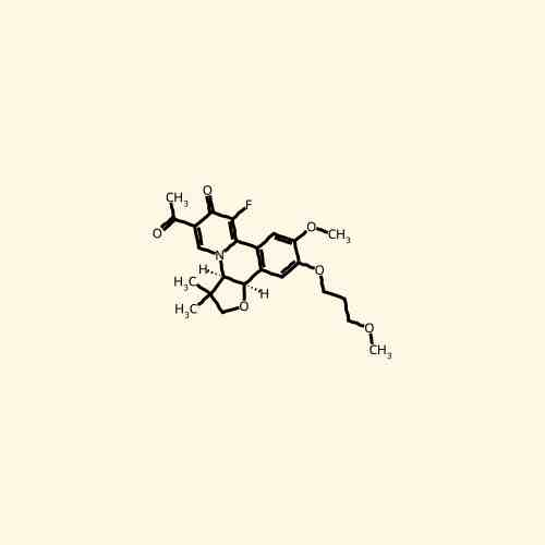 COCCCOc1cc2c(cc1OC)-c1c(F)c(=O)c(C(C)=O)cn1[C@H]1[C@@H]2OCC1(C)C